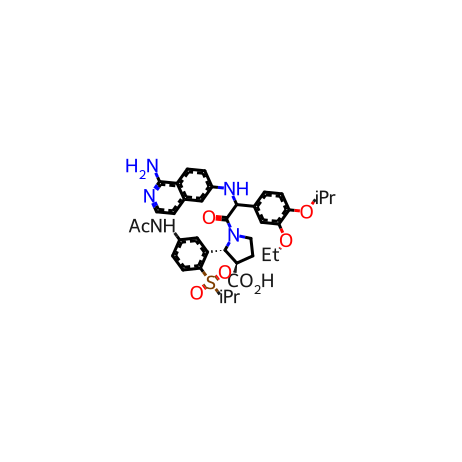 CCOc1cc(C(Nc2ccc3c(N)nccc3c2)C(=O)N2CC[C@@H](C(=O)O)[C@@H]2c2cc(NC(C)=O)ccc2S(=O)(=O)C(C)C)ccc1OC(C)C